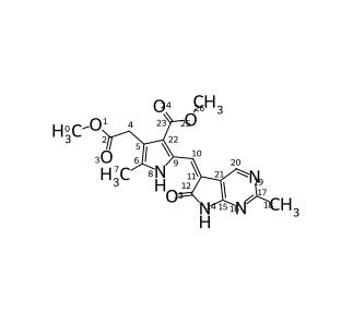 COC(=O)Cc1c(C)[nH]c(C=C2C(=O)Nc3nc(C)ncc32)c1C(=O)OC